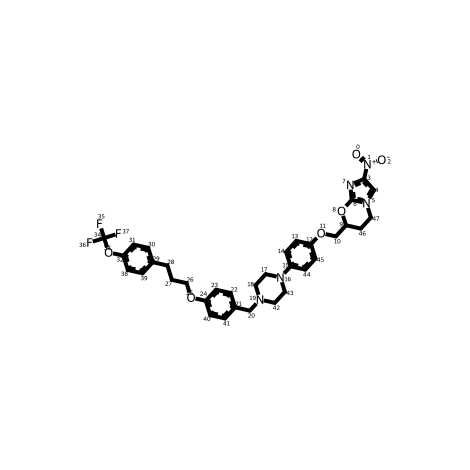 O=[N+]([O-])c1cn2c(n1)OC(COc1ccc(N3CCN(Cc4ccc(OCCCc5ccc(OC(F)(F)F)cc5)cc4)CC3)cc1)CC2